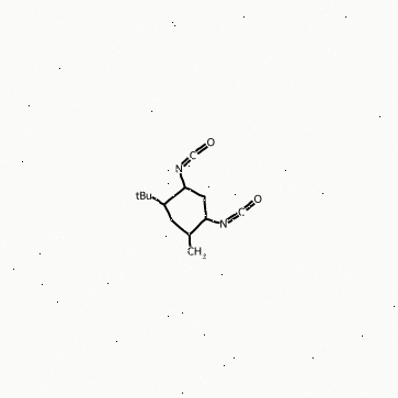 CC1CC(C(C)(C)C)C(N=C=O)CC1N=C=O